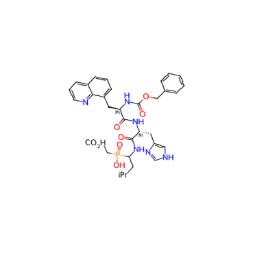 CC(C)CC(NC(=O)[C@@H](Cc1c[nH]cn1)NC(=O)[C@@H](Cc1cccc2cccnc12)NC(=O)OCc1ccccc1)P(=O)(O)CC(=O)O